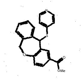 COC(=O)c1ccc2c(c1)C(Sc1ccncc1)c1ccccc1CO2